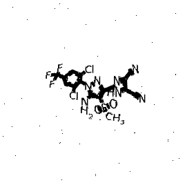 CS(=O)(=O)c1c(-c2nc(C#N)c(C#N)[nH]2)nn(-c2c(Cl)cc(C(F)(F)F)cc2Cl)c1N